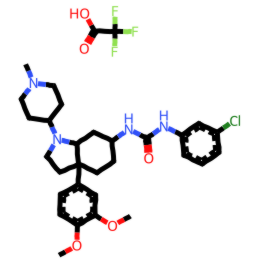 COc1ccc(C23CCC(NC(=O)Nc4cccc(Cl)c4)CC2N(C2CCN(C)CC2)CC3)cc1OC.O=C(O)C(F)(F)F